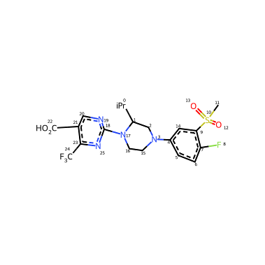 CC(C)C1CN(c2ccc(F)c(S(C)(=O)=O)c2)CCN1c1ncc(C(=O)O)c(C(F)(F)F)n1